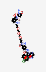 O=C1CCC(N2C(=O)c3cccc(NCCCOCCOCCOCCCNC(=O)c4ccc(NC(=O)[C@@H]5NC6(CCCCC6)[C@@]6(C(=O)Nc7cc(Cl)ccc76)[C@H]5c5cccc(Cl)c5F)cc4)c3C2=O)C(=O)N1